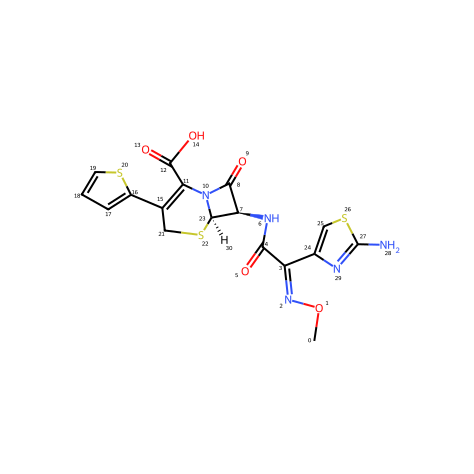 CO/N=C(/C(=O)N[C@@H]1C(=O)N2C(C(=O)O)=C(c3cccs3)CS[C@H]12)c1csc(N)n1